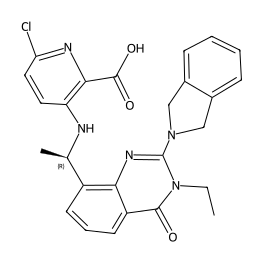 CCn1c(N2Cc3ccccc3C2)nc2c([C@@H](C)Nc3ccc(Cl)nc3C(=O)O)cccc2c1=O